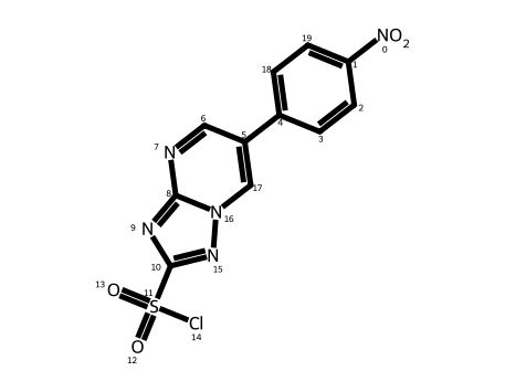 O=[N+]([O-])c1ccc(-c2cnc3nc(S(=O)(=O)Cl)nn3c2)cc1